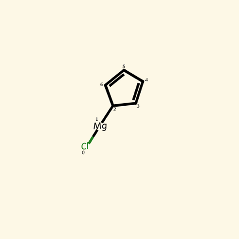 [Cl][Mg][CH]1C=CC=C1